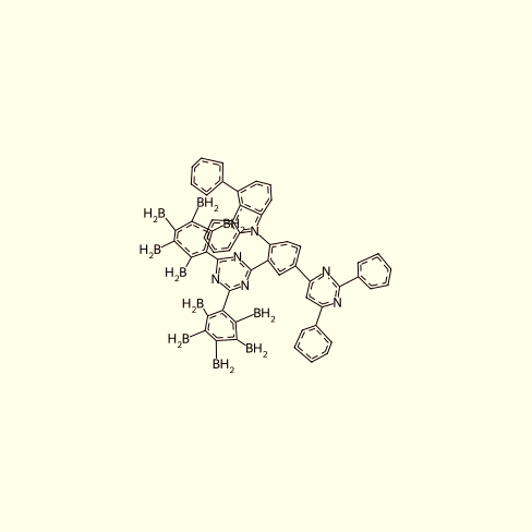 Bc1c(B)c(B)c(-c2nc(-c3cc(-c4cc(-c5ccccc5)nc(-c5ccccc5)n4)ccc3-n3c4ccccc4c4c(-c5ccccc5)cccc43)nc(-c3c(B)c(B)c(B)c(B)c3B)n2)c(B)c1B